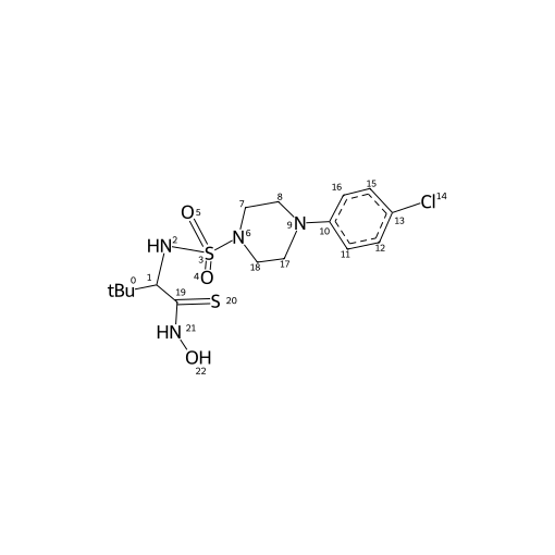 CC(C)(C)C(NS(=O)(=O)N1CCN(c2ccc(Cl)cc2)CC1)C(=S)NO